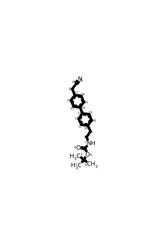 CC(C)(C)OC(=O)NCCc1ccc(-c2ccc(CC#N)cc2)cc1